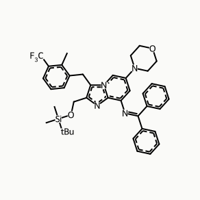 Cc1c(Cc2c(CO[Si](C)(C)C(C)(C)C)nc3c(N=C(c4ccccc4)c4ccccc4)cc(N4CCOCC4)cn23)cccc1C(F)(F)F